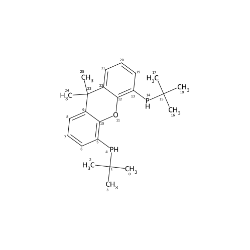 CC(C)(C)Pc1cccc2c1Oc1c(PC(C)(C)C)cccc1C2(C)C